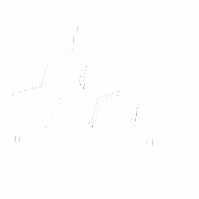 Cc1c[n+](CC(C)c2ncc(Cl)cc2F)ccc1C(F)(F)F